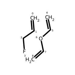 C=CCF.C=COC=C